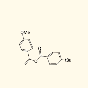 C=C(OC(=O)c1ccc(C(C)(C)C)cc1)c1ccc(OC)cc1